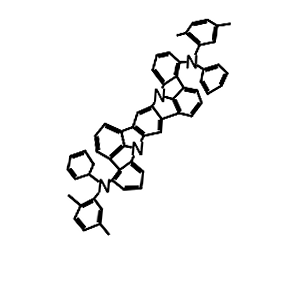 Cc1ccc(C)c(N(c2ccccc2)c2cccc3c2c2cccc4c5cc6c(cc5n3c42)c2cccc3c4c(N(c5cc(C)ccc5C)C5C=CC=CC5)cccc4n6c23)c1